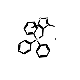 Cc1noc(C)c1C[P+](c1ccccc1)(c1ccccc1)c1ccccc1.[Cl-]